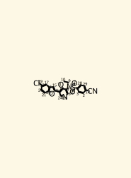 N#Cc1ccc(S(=O)(=O)N2CCOc3c(-c4cc5cc(Cl)ccc5o4)cncc32)cc1